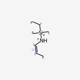 C/C=C\N[Si](C)(C)CC